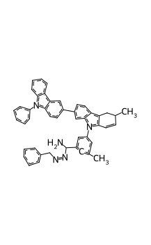 Cc1cc(C(N)/N=N\Cc2ccccc2)cc(-n2c3c(c4ccc(-c5ccc6c(c5)c5ccccc5n6-c5ccccc5)cc42)CC(C)C=C3)c1